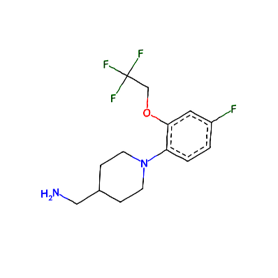 NCC1CCN(c2ccc(F)cc2OCC(F)(F)F)CC1